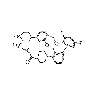 CCOC(=O)C1CCN(c2cccc(-c3cc(F)cc(F)c3OCc3ccc(C4CCNCC4)nc3C)n2)CC1